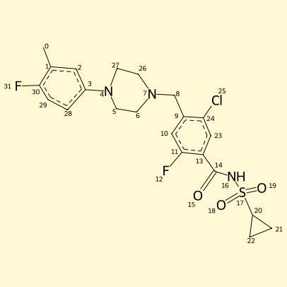 Cc1cc(N2CCN(Cc3cc(F)c(C(=O)NS(=O)(=O)C4CC4)cc3Cl)CC2)ccc1F